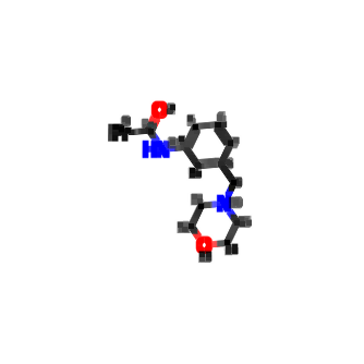 CC(C)C(=O)Nc1c[c]cc(CN2CCOCC2)c1